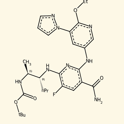 CCC[C@@H](Nc1nc(Nc2cnc(OCC)c(-n3cccn3)c2)c(C(N)=O)cc1F)[C@H](C)NC(=O)OC(C)(C)C